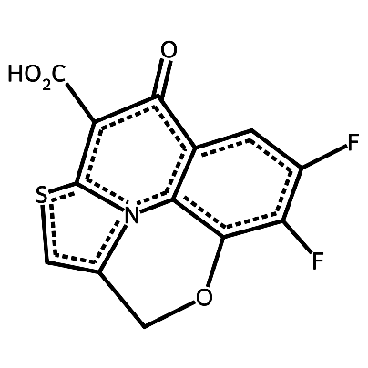 O=C(O)c1c(=O)c2cc(F)c(F)c3c2n2c(csc12)CO3